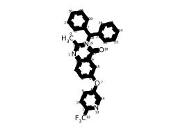 Cc1nc2ccc(Oc3ccc(C(F)(F)F)nc3)cc2c(=O)n1C(c1ccccc1)c1ccccc1